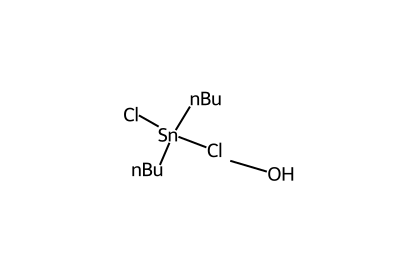 CCC[CH2][Sn]([Cl])([Cl])[CH2]CCC.CO